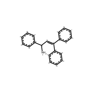 NC(C=C(c1ccccc1)c1ccccc1)c1ccccc1